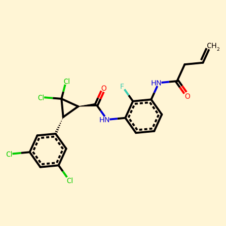 C=CCC(=O)Nc1cccc(NC(=O)[C@H]2[C@H](c3cc(Cl)cc(Cl)c3)C2(Cl)Cl)c1F